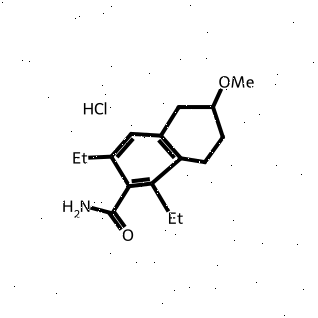 CCc1cc2c(c(CC)c1C(N)=O)CCC(OC)C2.Cl